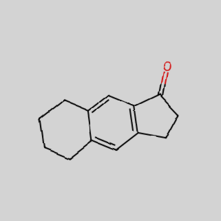 O=C1CCc2cc3c(cc21)CCCC3